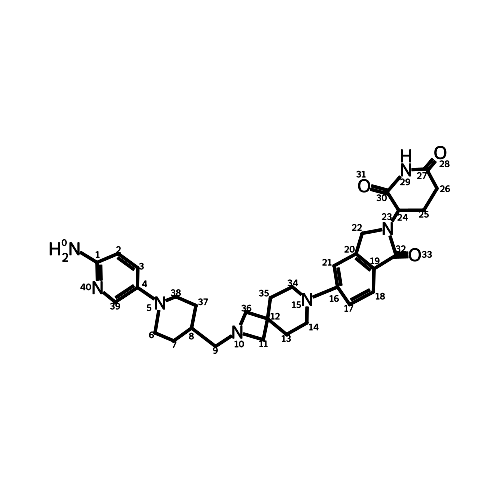 Nc1ccc(N2CCC(CN3CC4(CCN(c5ccc6c(c5)CN(C5CCC(=O)NC5=O)C6=O)CC4)C3)CC2)cn1